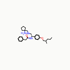 CCCC(C)COc1ccc([C@H](CNCC2(N)CCCC2)NC(=O)Cc2ccccc2)cc1